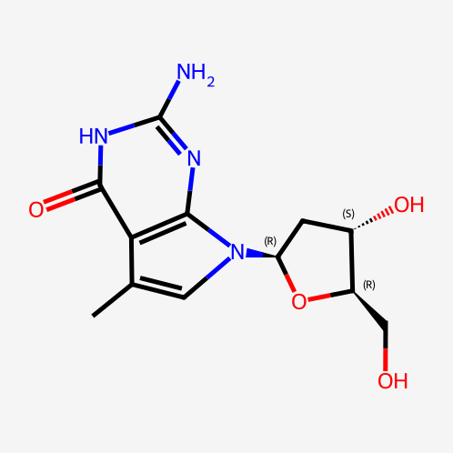 Cc1cn([C@H]2C[C@H](O)[C@@H](CO)O2)c2nc(N)[nH]c(=O)c12